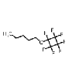 CCCCCOC1(F)C(F)(F)C(F)(F)C1(F)F